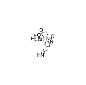 Cn1c(=O)n(C2CCC(=O)N(OC(=O)C(F)(F)F)C2=O)c2ccc(CC3(C)CNC3)cc21